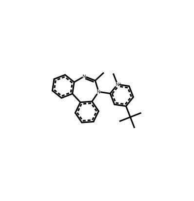 CC1=Nc2ccccc2-c2ccccc2N1c1cc(C(C)(C)C)cc[n+]1C